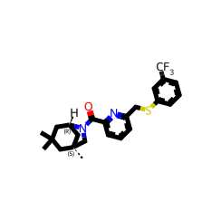 CC1(C)C[C@@H]2C[C@@](C)(CN2C(=O)c2cccc(CSc3cccc(C(F)(F)F)c3)n2)C1